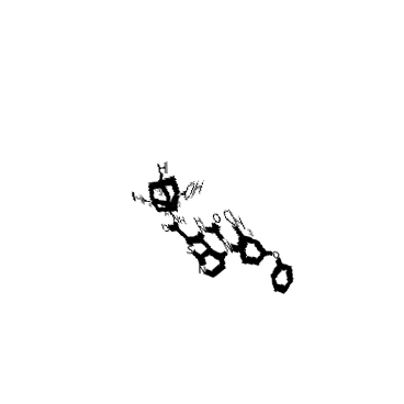 Cc1cc(Oc2ccccc2)ccc1N1C(=O)Nc2c(C(=O)N[C@@]34C[C@@H]5C[C@@H](C[C@@](O)(C5)C3)C4)sc3nccc1c23